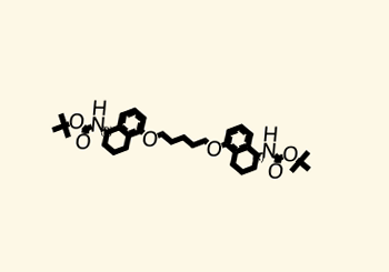 CC(C)(C)OC(=O)N[C@@H]1CCCc2c(OCCCCCOc3cccc4c3CCC[C@H]4NC(=O)OC(C)(C)C)cccc21